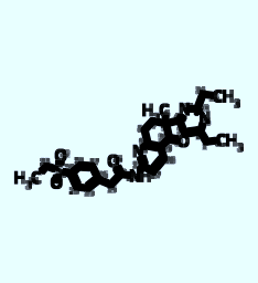 CCc1cc(C2(C)CCc3nc(NC(=O)Cc4ccc(S(=O)(=O)CC)cc4)ccc3C2=O)nc(CC)n1